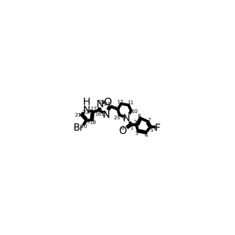 O=C(c1ccc(F)cc1)N1CCCC(c2nc(-c3cc(Br)c[nH]3)no2)C1